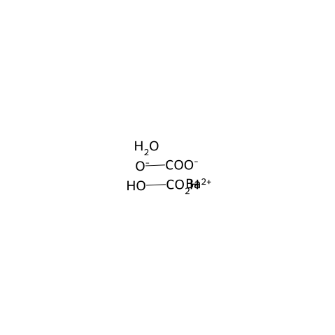 O.O=C(O)O.O=C([O-])[O-].[Ba+2]